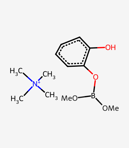 COB(OC)Oc1ccccc1O.C[N+](C)(C)C